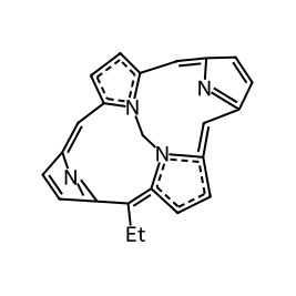 CC/C1=c2\cc/c3n2Cn2c(ccc2/C=C2/C=CC1=N2)/C=C1/C=CC(=N1)/C=3